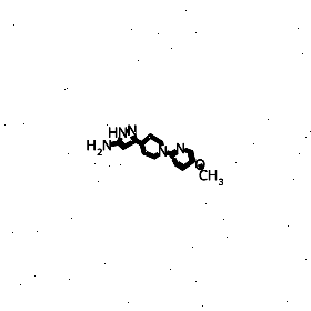 COc1ccc(N2CCC(c3cc(N)[nH]n3)CC2)nc1